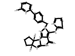 O=C1NC2=N[C@@H]3CCC[C@@H]3N2c2nn(Cc3ccc(-c4cccc(F)n4)cc3)c(Sc3ccccn3)c21